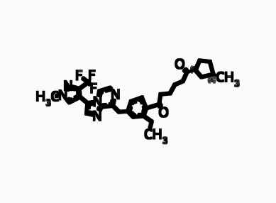 CCc1cc(Cc2nccn3c(-c4cn(C)nc4C(F)(F)F)cnc23)ccc1C(=O)CCCCC(=O)[C@H]1CC[C@H](C)C1